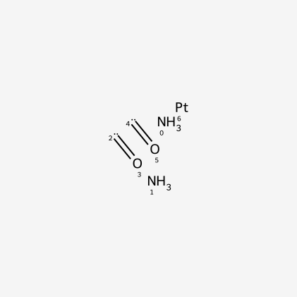 N.N.[C]=O.[C]=O.[Pt]